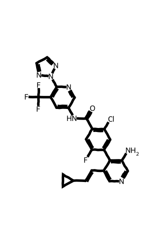 Nc1cncc(/C=C/C2CC2)c1-c1cc(Cl)c(C(=O)Nc2cnc(-n3nccn3)c(C(F)(F)F)c2)cc1F